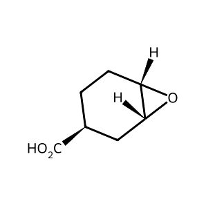 O=C(O)[C@H]1CC[C@@H]2O[C@@H]2C1